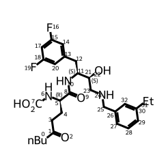 CCCCC(=O)CC[C@@H](NC(=O)O)C(=O)N[C@@H](Cc1cc(F)cc(F)c1)[C@@H](O)CNCc1cccc(CC)c1